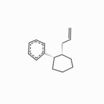 C=CC[C@@H]1CCCC[C@@H]1c1ccccc1